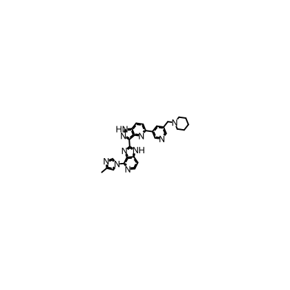 Cc1cn(-c2nccc3[nH]c(-c4n[nH]c5ccc(-c6cncc(CN7CCCCC7)c6)nc45)nc23)cn1